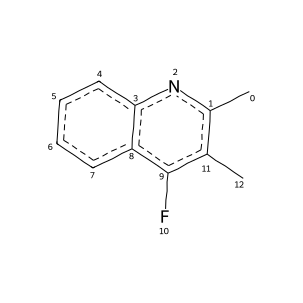 Cc1nc2ccccc2c(F)c1C